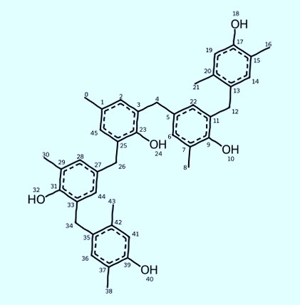 Cc1cc(Cc2cc(C)c(O)c(Cc3cc(C)c(O)cc3C)c2)c(O)c(Cc2cc(C)c(O)c(Cc3cc(C)c(O)cc3C)c2)c1